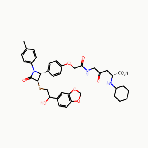 Cc1ccc(N2C(=O)[C@H](SCC(O)c3ccc4c(c3)OCO4)[C@H]2c2ccc(OCC(=O)NCC(=O)C[C@@H](NC3CCCCC3)C(=O)O)cc2)cc1